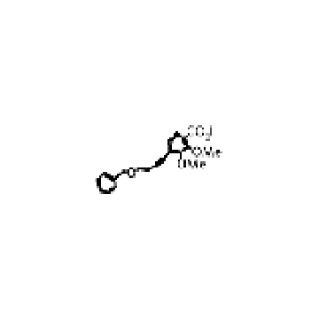 COc1c(C#CCCOCc2ccccc2)ccc(C(=O)O)c1OC